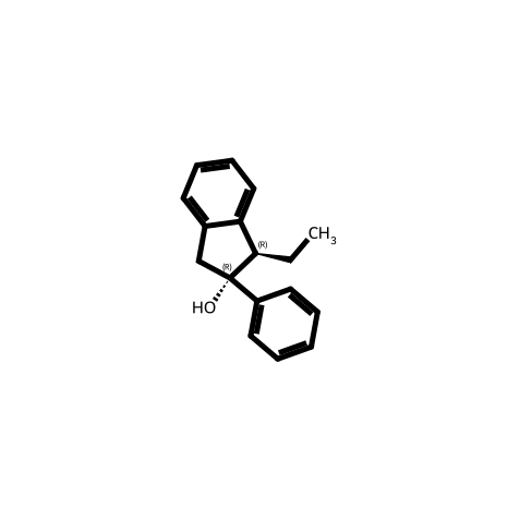 CC[C@@H]1c2ccccc2C[C@]1(O)c1ccccc1